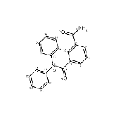 NC(=O)c1cccc(C(=O)N(c2ccccc2)c2ccccc2)c1